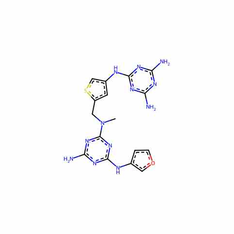 CN(Cc1cc(Nc2nc(N)nc(N)n2)cs1)c1nc(N)nc(Nc2ccoc2)n1